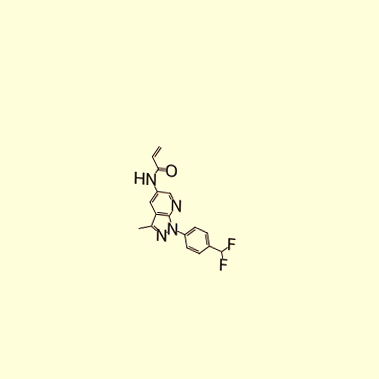 C=CC(=O)Nc1cnc2c(c1)c(C)nn2-c1ccc(C(F)F)cc1